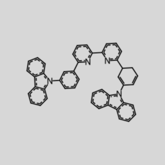 C1=CC(n2c3ccccc3c3ccccc32)=CC(c2cccc(-c3cccc(-c4cccc(-n5c6ccccc6c6ccccc65)c4)n3)n2)C1